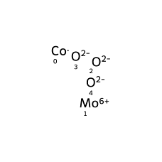 [Co].[Mo+6].[O-2].[O-2].[O-2]